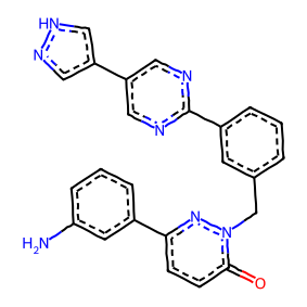 Nc1cccc(-c2ccc(=O)n(Cc3cccc(-c4ncc(-c5cn[nH]c5)cn4)c3)n2)c1